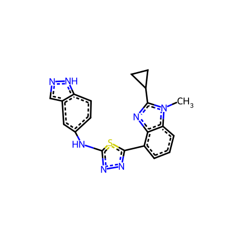 Cn1c(C2CC2)nc2c(-c3nnc(Nc4ccc5[nH]ncc5c4)s3)cccc21